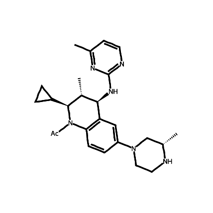 CC(=O)N1c2ccc(N3CCN[C@@H](C)C3)cc2[C@H](Nc2nccc(C)n2)[C@@H](C)[C@@H]1C1CC1